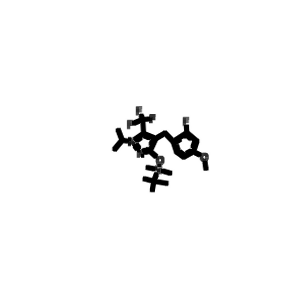 COc1ccc(Cc2c(O[Si](C)(C)C(C)(C)C)nn(C(C)C)c2C(F)(F)F)c(F)c1